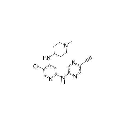 C#Cc1cnc(Nc2cc(NC3CCN(C)CC3)c(Cl)cn2)cn1